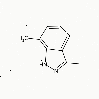 Cc1cccc2c(I)n[nH]c12